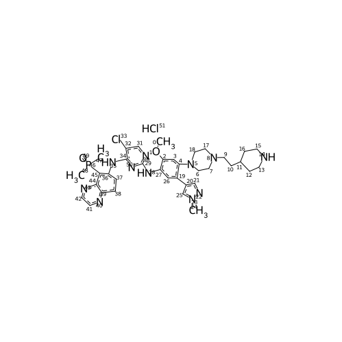 COc1cc(N2CCN(CCC3CCNCC3)CC2)c(-c2cnn(C)c2)cc1Nc1ncc(Cl)c(Nc2ccc3nccnc3c2P(C)(C)=O)n1.Cl